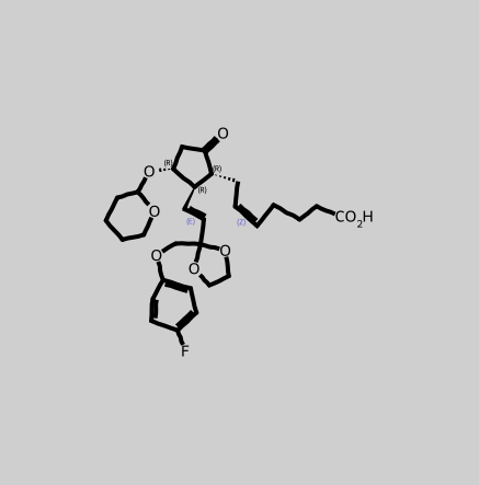 O=C(O)CCC/C=C\C[C@H]1C(=O)C[C@@H](OC2CCCCO2)[C@@H]1/C=C/C1(COc2ccc(F)cc2)OCCO1